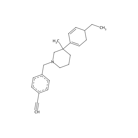 C#Cc1ccc(CN2CCCC(C)(C3=CCC(CC)C=C3)C2)cc1